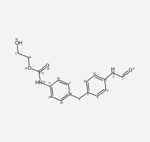 O=CNc1ccc(Cc2ccc(NC(=O)OCCO)cc2)cc1